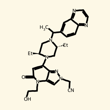 CC[C@H]1CN(C(C)c2ccc3nccnc3c2)[C@H](CC)CN1c1cc(=O)n(CCO)c2cn(CC#N)nc12